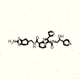 Nc1nc2ccc(CNC(=O)c3cccn4c(C(=O)NCC(O)c5ccncc5)c(-c5ccsc5)nc34)cc2s1